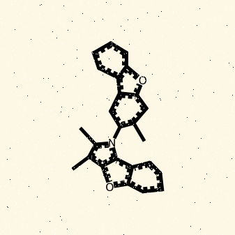 Cc1cc2oc3ccccc3c2cc1-n1c(C)c(C)c2oc3ccccc3c21